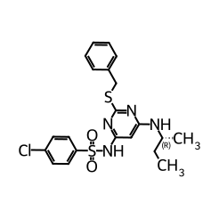 CC[C@@H](C)Nc1cc(NS(=O)(=O)c2ccc(Cl)cc2)nc(SCc2ccccc2)n1